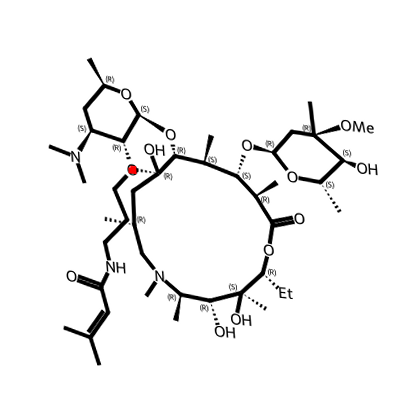 CC[C@H]1OC(=O)[C@H](C)[C@@H](O[C@H]2C[C@@](C)(OC)[C@@H](O)[C@H](C)O2)[C@H](C)[C@@H](O[C@@H]2O[C@H](C)C[C@H](N(C)C)[C@H]2OCCCNC(=O)C=C(C)C)[C@](C)(O)C[C@@H](C)CN(C)[C@H](C)[C@@H](O)[C@]1(C)O